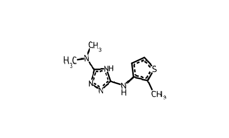 Cc1sccc1Nc1nnc(N(C)C)[nH]1